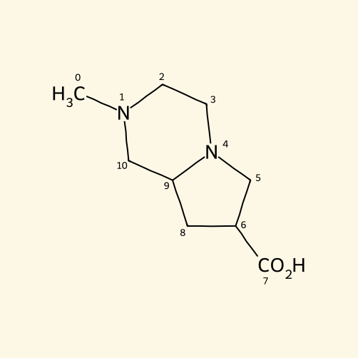 CN1CCN2CC(C(=O)O)CC2C1